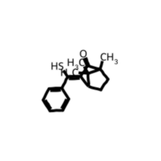 CC12CCC(C(=C(S)c3ccccc3)C1=O)C2(C)C